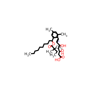 CCCCCCCCCC(OC(=O)C(C)(C)CC)c1cc(C)cc(C)c1/C=C/C(O)CC(O)CC(=O)O